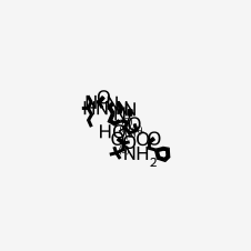 CCCC(C)N(C)C(=O)Nc1ncnn2c([C@]3(C#N)O[C@H](COC(=O)Cc4ccccc4)[C@@H](OC(=O)[C@@H](N)C(C)(C)C)[C@H]3O)ccc12